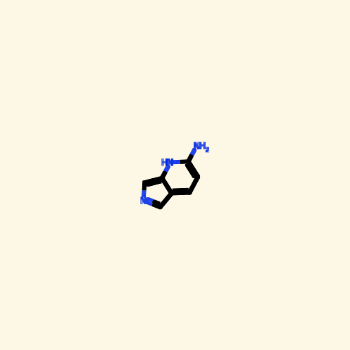 Nc1ccc2cncc-2[nH]1